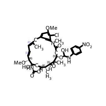 COc1cc2cc(c1Cl)N(C)C(=O)C[C@H](OC(O)Nc1ccc([N+](=O)[O-])cc1)[C@]1(C)O[C@H]1[C@H](C)[C@@H]1C[C@@](O)(NC(=O)O1)[C@H](OC)/C=C/C=C(\C)C2